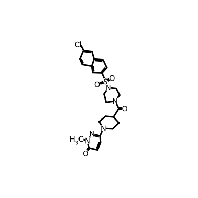 Cn1nc(N2CCC(C(=O)N3CCN(S(=O)(=O)c4ccc5cc(Cl)ccc5c4)CC3)CC2)ccc1=O